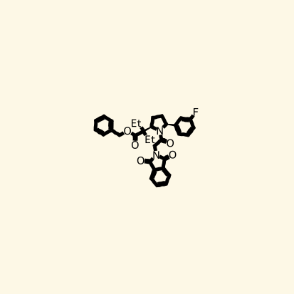 CCC(CC)(C(=O)OCc1ccccc1)[C@H]1CC[C@@H](c2cccc(F)c2)N1C(=O)CN1C(=O)c2ccccc2C1=O